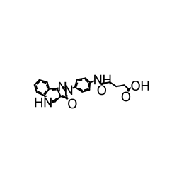 O=C(O)CCCC(=O)Nc1ccc(-n2nc3c4ccccc4[nH]cc-3c2=O)cc1